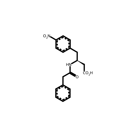 O=C(O)C[C@H](Cc1ccc([N+](=O)[O-])cc1)NC(=O)Cc1ccccc1